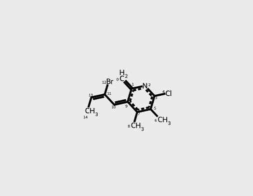 C=c1nc(Cl)c(C)c(C)/c1=C/C(Br)=C\C